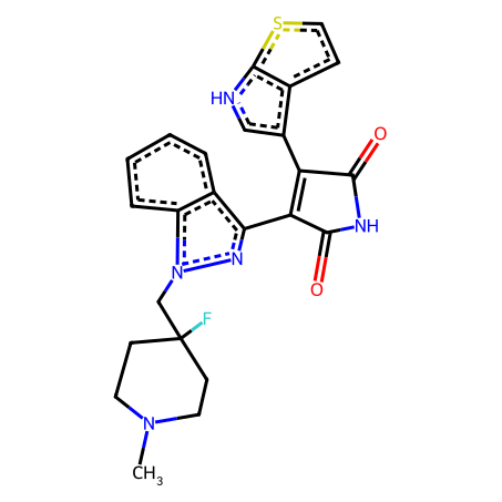 CN1CCC(F)(Cn2nc(C3=C(c4c[nH]c5sccc45)C(=O)NC3=O)c3ccccc32)CC1